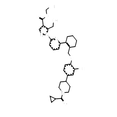 CCOC(=O)c1cnn(-c2cccc(C3=C(COc4ccc(C5CCN(C(=O)C6CC6)CC5)cc4C)CCCC3)n2)c1CC